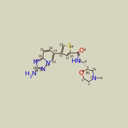 CN1CCO[C@H](CNC(=O)c2cc(-c3ccc4nc(N)nn4c3)cs2)C1